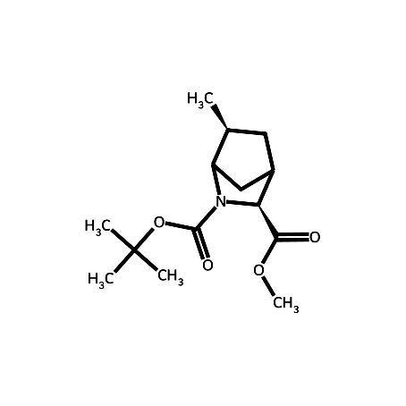 COC(=O)[C@@H]1C2CC([C@@H](C)C2)N1C(=O)OC(C)(C)C